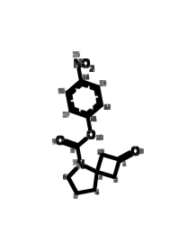 O=C1CC2(CCCN2C(=O)Oc2ccc([N+](=O)[O-])cc2)C1